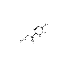 [2H]N(CC#C)c1ccc(F)cc1